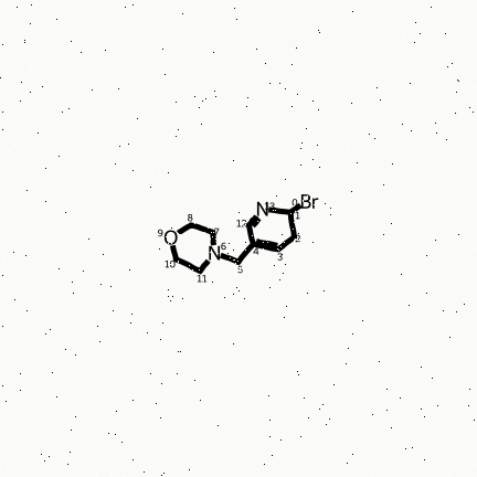 BrC1CC=C(CN2CCOCC2)C=N1